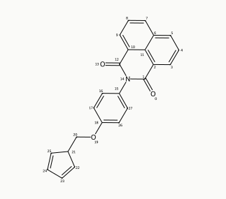 O=C1c2cccc3cccc(c23)C(=O)N1c1ccc(OCC2C=CC=C2)cc1